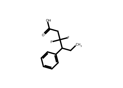 CCC(c1ccccc1)C(F)(F)CC(=O)O